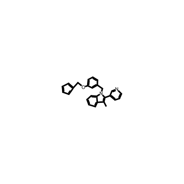 Cc1c(-c2cccnc2)n(Cc2cccc(OCc3ccccc3)c2)c2ccccc12